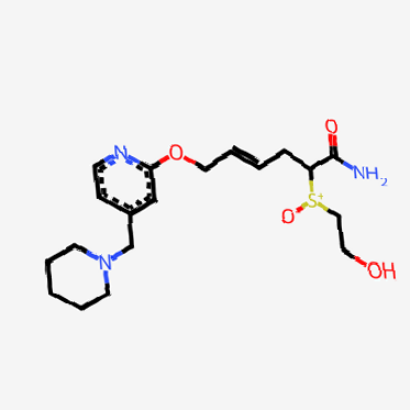 NC(=O)C(CC=CCOc1cc(CN2CCCCC2)ccn1)[S+]([O-])CCO